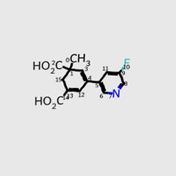 CC1(C(=O)O)C=C(c2cncc(F)c2)C=C(C(=O)O)C1